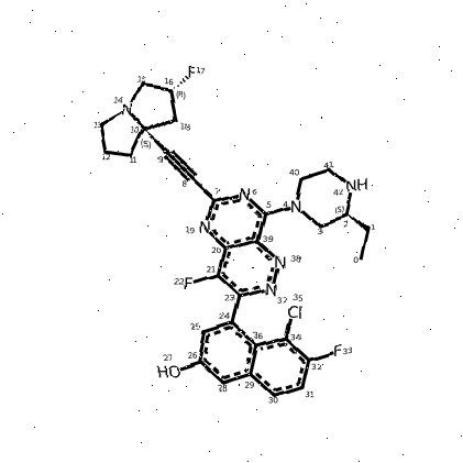 CC[C@H]1CN(c2nc(C#C[C@@]34CCCN3C[C@H](F)C4)nc3c(F)c(-c4cc(O)cc5ccc(F)c(Cl)c45)nnc23)CCN1